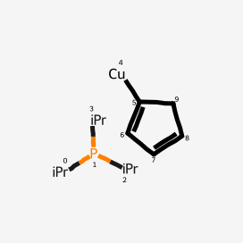 CC(C)P(C(C)C)C(C)C.[Cu][C]1=CC=CC1